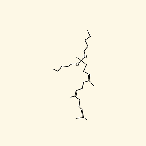 CCCCCOC(C)(CCC=C(C)CCC=C(C)CCC=C(C)C)OCCCCC